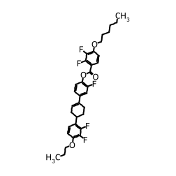 CCCCCCOc1ccc(C(=O)Oc2ccc(C3=CCC(c4ccc(OCCC)c(F)c4F)CC3)cc2F)c(F)c1F